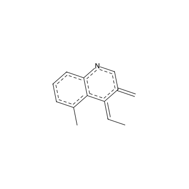 C=c1cnc2cccc(C)c2/c1=C/C